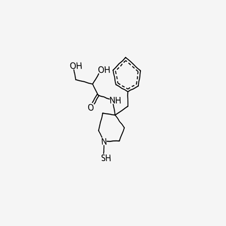 O=C(NC1(Cc2ccccc2)CCN(S)CC1)C(O)CO